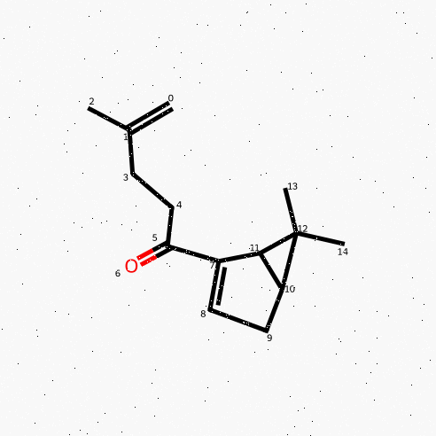 C=C(C)CCC(=O)C1=CCC2C1C2(C)C